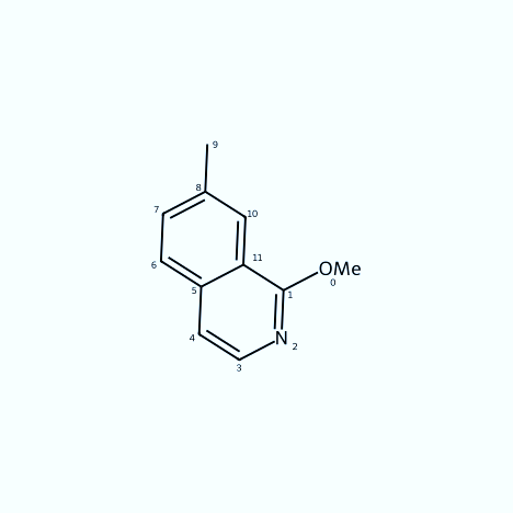 COc1nccc2ccc(C)cc12